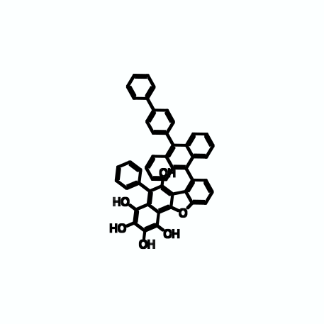 Oc1c(O)c(O)c2c(c1O)c(-c1ccccc1)c(O)c1c2oc2cccc(-c3c4ccccc4c(-c4ccc(-c5ccccc5)cc4)c4ccccc34)c21